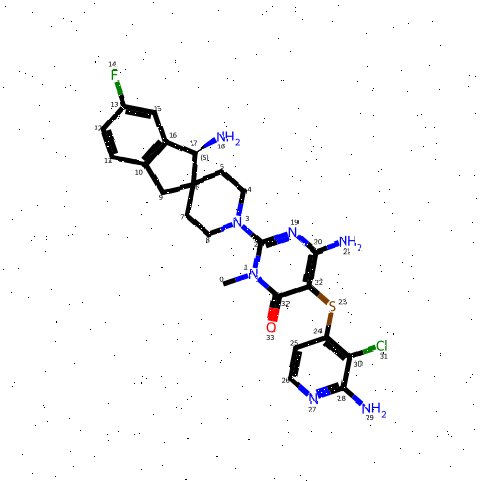 Cn1c(N2CCC3(CC2)Cc2ccc(F)cc2[C@H]3N)nc(N)c(Sc2ccnc(N)c2Cl)c1=O